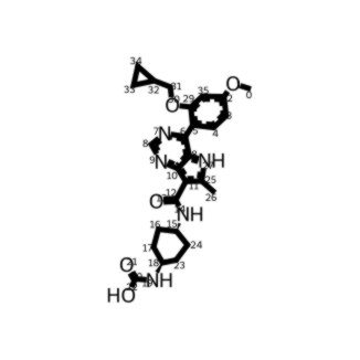 COc1ccc(-c2ncnc3c(C(=O)N[C@H]4CC[C@H](NC(=O)O)CC4)c(C)[nH]c23)c(OCC2CC2)c1